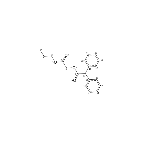 CCCOC(=O)COC(=O)C(c1ccccc1)c1ccccc1